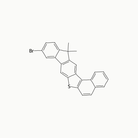 CC1(C)c2ccc(Br)cc2-c2cc3sc4ccc5ccccc5c4c3cc21